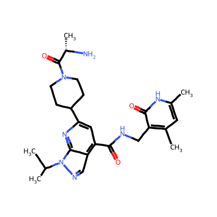 Cc1cc(C)c(CNC(=O)c2cc(C3CCN(C(=O)[C@H](C)N)CC3)nc3c2cnn3C(C)C)c(=O)[nH]1